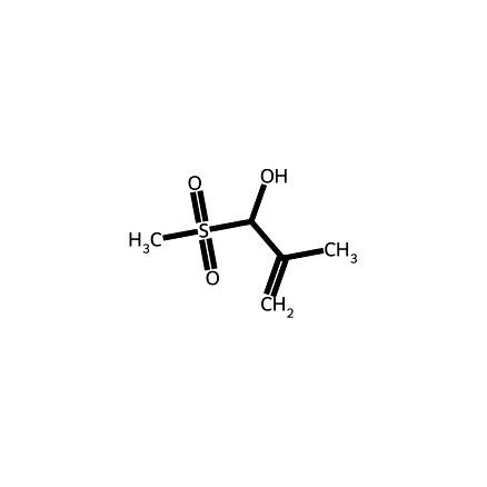 C=C(C)C(O)S(C)(=O)=O